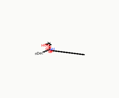 CC#CC#CC#CC#CC#CC#CC#CC#CC#CC#CC#CC#CC(=O)N[C@@H](CO[C@H]1OC(CO)[C@@H](C)[C@H](C)C1C)[C@H](O)[C@H](O)CCCCCCCCCCCCCC